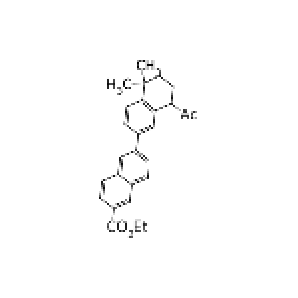 CCOC(=O)c1ccc2cc(-c3ccc4c(c3)C(C(C)=O)CCC4(C)C)ccc2c1